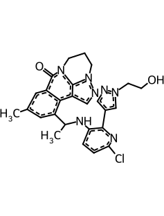 Cc1cc(C(C)Nc2ccc(Cl)nc2-c2cnn(CCO)c2)c2c(c1)c(=O)n1c3c2cnn3CCC1